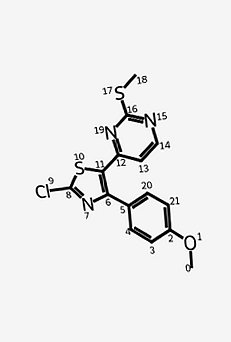 COc1ccc(-c2nc(Cl)sc2-c2ccnc(SC)n2)cc1